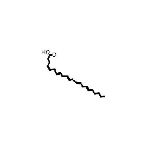 CCC=CCC=CCC=CCC=CCC=CC/C=C\CCC(=O)O